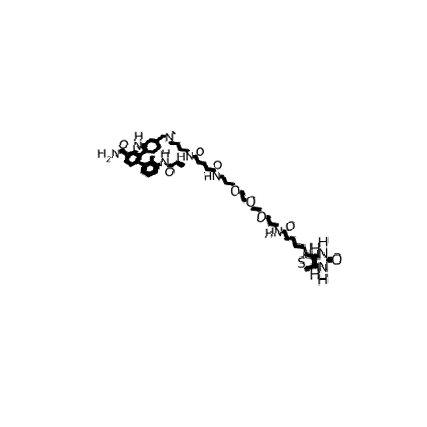 C=CC(=O)Nc1cccc(-c2ccc(C(N)=O)c3[nH]c4c(c23)CCC(CN(C)CCCCNC(=O)CCCC(=O)NCCCOCCOCCOCCCNC(=O)CCCC[C@@H]2SC[C@@H]3NC(=O)N[C@@H]32)C4)c1C